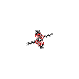 CCCCCCOc1cc(B2OCC(C)(C)CO2)c(OCCCCCC)cc1B1OCC(C)(C)CO1